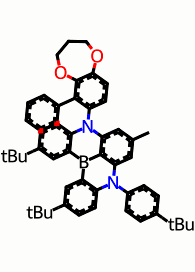 Cc1cc2c3c(c1)N(c1ccc4c(c1-c1ccccc1)OCCCO4)c1ccc(C(C)(C)C)cc1B3c1cc(C(C)(C)C)ccc1N2c1ccc(C(C)(C)C)cc1